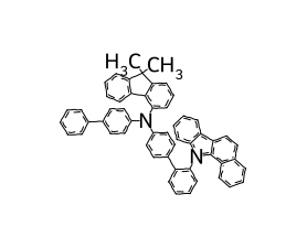 CC1(C)c2ccccc2-c2c(N(c3ccc(-c4ccccc4)cc3)c3ccc(-c4ccccc4-n4c5ccccc5c5ccc6ccccc6c54)cc3)cccc21